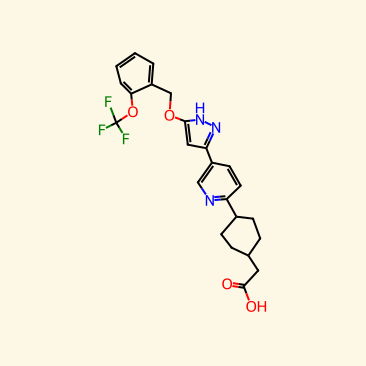 O=C(O)CC1CCC(c2ccc(-c3cc(OCc4ccccc4OC(F)(F)F)[nH]n3)cn2)CC1